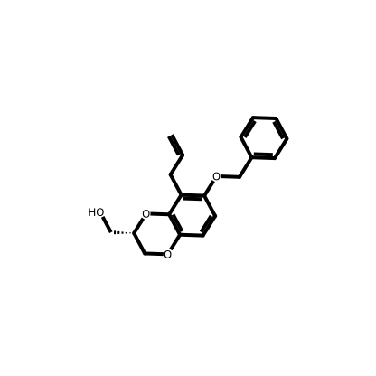 C=CCc1c(OCc2ccccc2)ccc2c1O[C@@H](CO)CO2